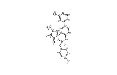 CN1C(=O)C2(C[C@](C)(Cc3ccc(Br)cc3)Cc3ccc(-c4cncc(Cl)c4)cc32)N=C1N